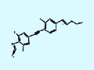 CCC/C=C/c1ccc(C#Cc2cc(F)c(N=C=S)c(F)c2)c(C)c1